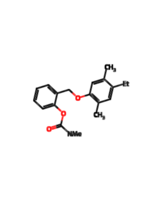 CCc1cc(C)c(OCc2ccccc2OC(=O)NC)cc1C